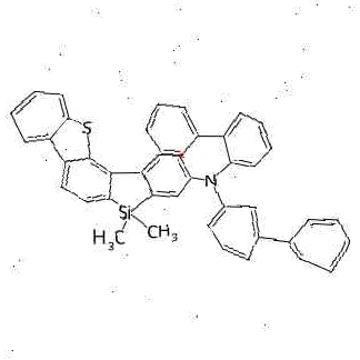 C[Si]1(C)c2cc(N(c3cccc(-c4ccccc4)c3)c3ccccc3-c3ccccc3)ccc2-c2c1ccc1c2sc2ccccc21